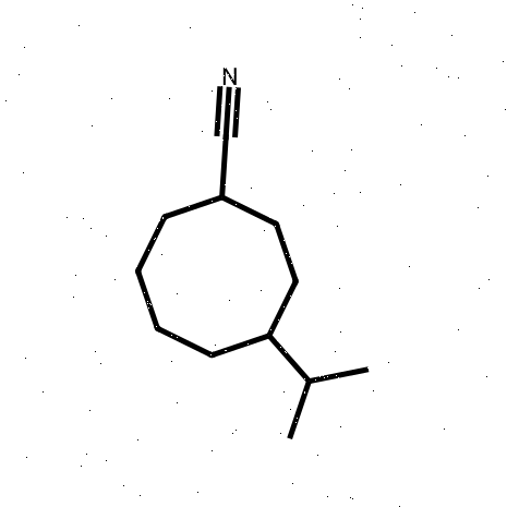 CC(C)C1CCCCC(C#N)CC1